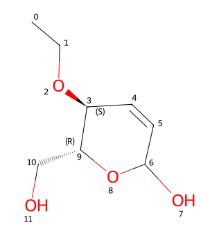 CCO[C@H]1C=CC(O)O[C@@H]1CO